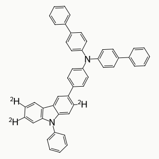 [2H]c1cc2c3cc(-c4ccc(N(c5ccc(-c6ccccc6)cc5)c5ccc(-c6ccccc6)cc5)cc4)c([2H])cc3n(-c3ccccc3)c2cc1[2H]